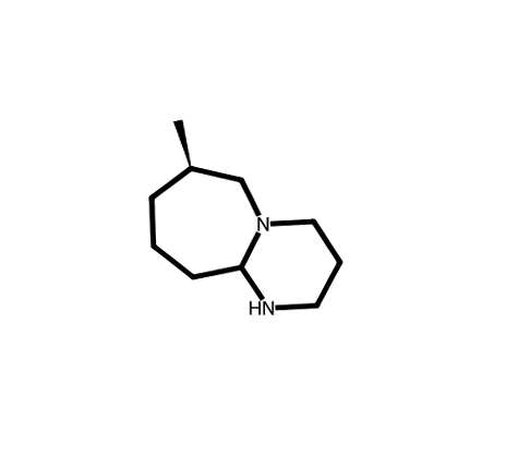 C[C@@H]1CCCC2NCCCN2C1